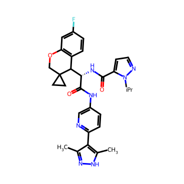 Cc1n[nH]c(C)c1-c1ccc(NC(=O)[C@@H](NC(=O)c2ccnn2C(C)C)C2c3ccc(F)cc3OCC23CC3)cn1